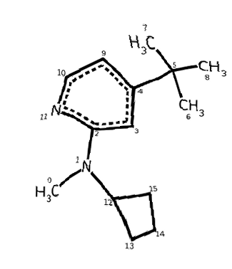 CN(c1cc(C(C)(C)C)ccn1)C1CCC1